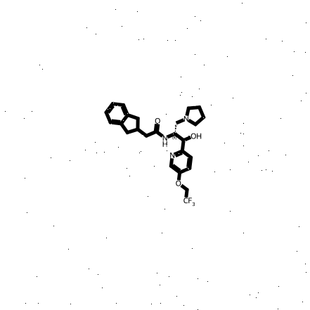 O=C(CC1Cc2ccccc2C1)N[C@H](CN1CCCC1)C(O)c1ccc(OCC(F)(F)F)cn1